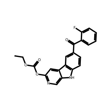 CCOC(=O)Oc1cc2c(cn1)[nH]c1ccc(C(=O)c3ccccc3F)cc12